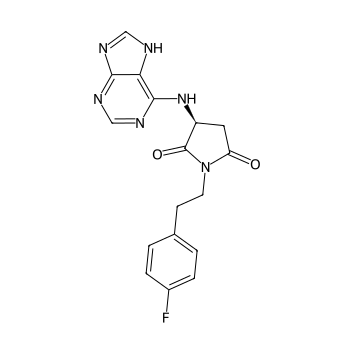 O=C1C[C@H](Nc2ncnc3nc[nH]c23)C(=O)N1CCc1ccc(F)cc1